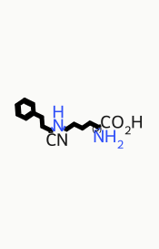 N#CC(CCc1ccccc1)NCCCC[C@H](N)C(=O)O